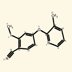 CSc1cc(Oc2ncccc2C)ccc1C#N